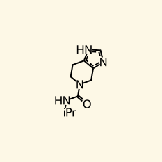 CC(C)NC(=O)N1CCc2[nH]cnc2C1